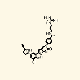 C#CC1CC[C@@H](c2cc(Cl)c(F)c(-c3cc4cn(-c5ccc([C@H](C)NCCCNC(=N)N)cc5)c(=O)nc4[nH]3)c2)N1